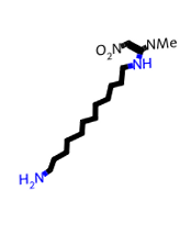 CNC(=C[N+](=O)[O-])NCCCCCCCCCCCCN